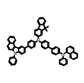 CC1(C)c2ccccc2-c2ccc(N(c3ccc(-c4ccc(N(c5ccccc5)c5cccc6ccccc56)cc4)cc3)c3ccc(-c4ccc5c(c4)c4c6ccccc6ccc4n5-c4ccccc4)cc3)cc21